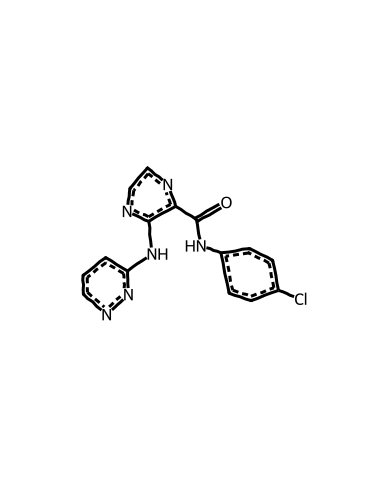 O=C(Nc1ccc(Cl)cc1)c1nccnc1Nc1cccnn1